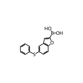 OB(O)c1cc2cc(Sc3ccccc3)ccc2o1